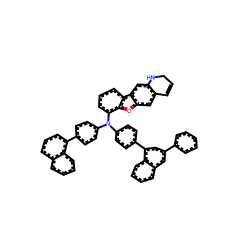 C1=Cc2cc3oc4c(N(c5ccc(-c6cccc7ccccc67)cc5)c5ccc(-c6cc(-c7ccccc7)cc7ccccc67)cc5)cccc4c3cc2NC1